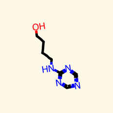 OCCCCNc1ncncn1